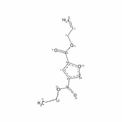 C=CCOC(=O)c1cc(C(=O)OCC)co1